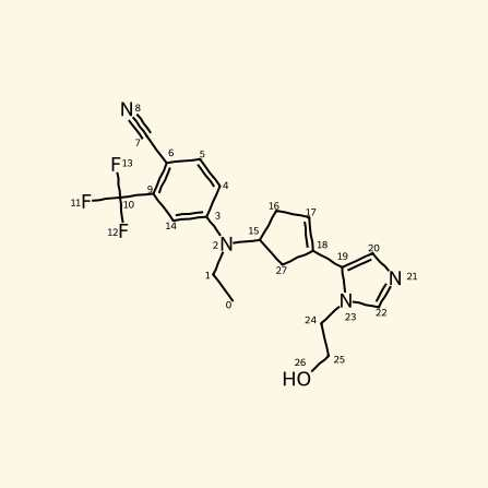 CCN(c1ccc(C#N)c(C(F)(F)F)c1)C1CC=C(c2cncn2CCO)C1